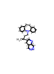 C=C(CCN1c2ccccc2CCc2ccccc21)c1cnc2cnncc2c1